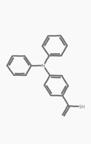 C=C(S)c1ccc(N(c2ccccc2)c2ccccc2)cc1